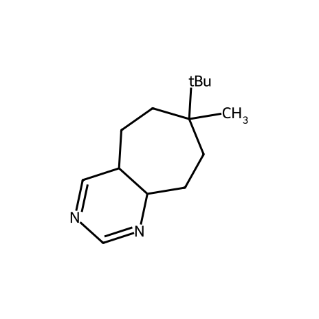 CC(C)(C)C1(C)CCC2C=NC=NC2CC1